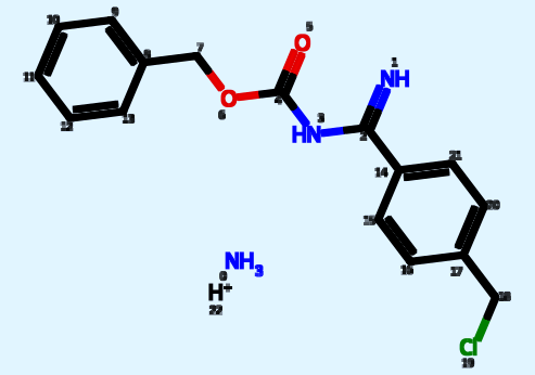 N.N=C(NC(=O)OCc1ccccc1)c1ccc(CCl)cc1.[H+]